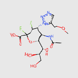 COCc1cnnn1[C@H]1C(F)C(F)(C(=O)O)O[C@@H]([C@H](O)[C@H](O)CO)[C@@H]1NC(C)=O